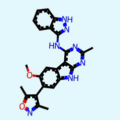 COc1cc2c(cc1-c1c(C)noc1C)[nH]c1nc(C)nc(Nc3n[nH]c4ccccc34)c12